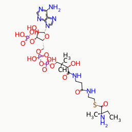 CC[C@](C)(N)C(=O)SCCNC(=O)CCNC(=O)[C@H](O)C(C)(C)COP(=O)(O)OP(=O)(O)OC[C@H]1O[C@@H](n2cnc3c(N)ncnc32)[C@H](O)[C@@H]1OP(=O)(O)O